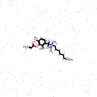 C=CC(=O)Oc1c(C)ccc(C(C)(C)[N+](C)(C)CCCCCCCCCCCCCCCC)c1CCC